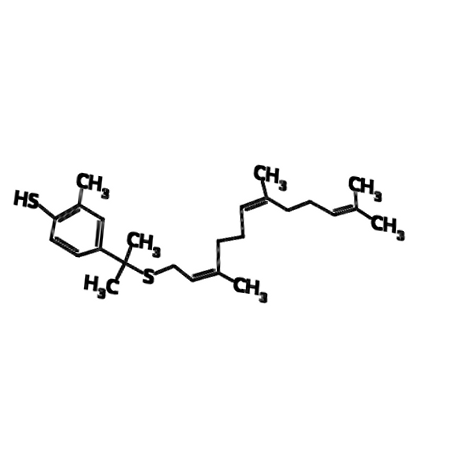 CC(C)=CCCC(C)=CCCC(C)=CCSC(C)(C)c1ccc(S)c(C)c1